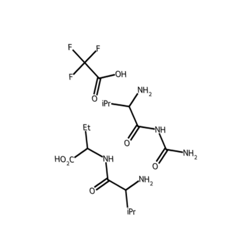 CC(C)C(N)C(=O)NC(N)=O.CCC(NC(=O)C(N)C(C)C)C(=O)O.O=C(O)C(F)(F)F